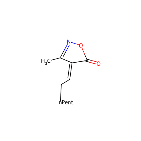 CCCCCC/C=C1/C(=O)ON=C1C